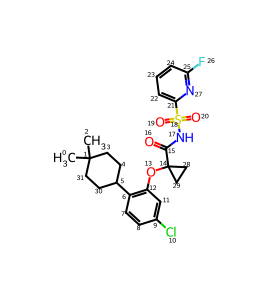 CC1(C)CCC(c2ccc(Cl)cc2OC2(C(=O)NS(=O)(=O)c3cccc(F)n3)CC2)CC1